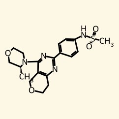 C[C@H]1COCCN1c1nc(-c2ccc(NS(C)(=O)=O)cc2)nc2c1COCC2